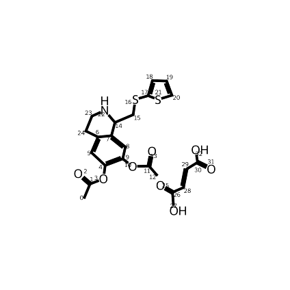 CC(=O)Oc1cc2c(cc1OC(C)=O)C(CSc1cccs1)NCC2.O=C(O)C=CC(=O)O